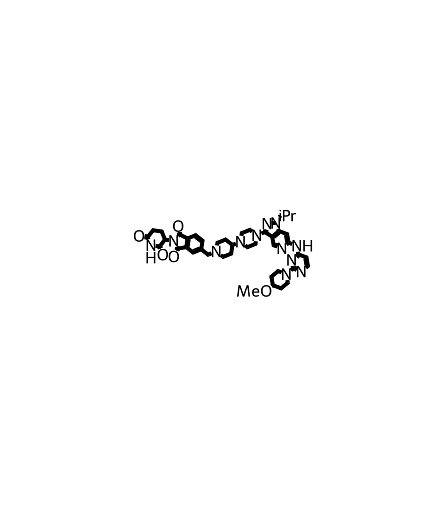 COC1CCN(c2nccc(Nc3cc4c(cn3)c(N3CCN(C5CCN(Cc6ccc7c(c6)C(=O)N(C6CCC(=O)NC6=O)C7=O)CC5)CC3)nn4C(C)C)n2)CC1